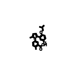 Cc1ccc(-n2c(C)ccc2-c2cc(Cl)ccc2OCC(C)C)cc1C(=O)O